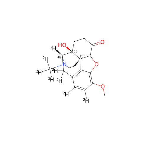 [2H]c1c([2H])c2c3c(c1OC)OC1C(=O)CC[C@]4(O)[C@@]31CCN(C([2H])([2H])[2H])[C@]4([2H])C2([2H])[2H]